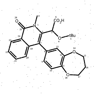 Cn1c(C(OC(C)(C)C)C(=O)O)c(-c2ccc3c(c2)OCCCO3)c2ccccc2c1=O